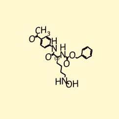 CC(=O)c1ccc(NC(=O)[C@H](CCCCNO)NC(=O)OCc2ccccc2)cc1